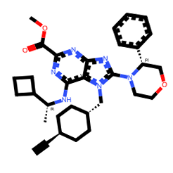 C#C[C@H]1CC[C@H](Cn2c(N3CCOC[C@H]3c3ccccc3)nc3nc(C(=O)OC)nc(N[C@H](C)C4CCC4)c32)CC1